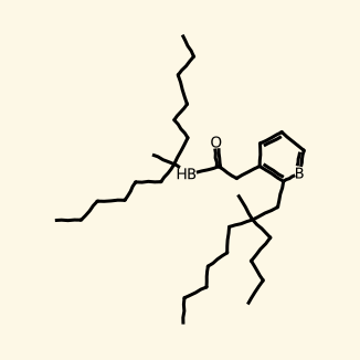 CCCCCCC(C)(BC(=O)Cc1cccbc1CC(C)(CCCC)CCCCCC)CCCCCC